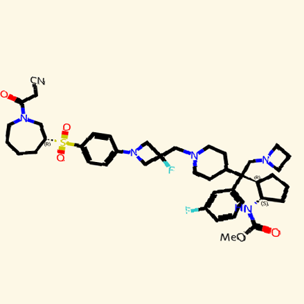 COC(=O)N[C@H]1CCC[C@@H]1C(CN1CCC1)(c1cccc(F)c1)C1CCN(CC2(F)CN(c3ccc(S(=O)(=O)[C@@H]4CCCCN(C(=O)CC#N)C4)cc3)C2)CC1